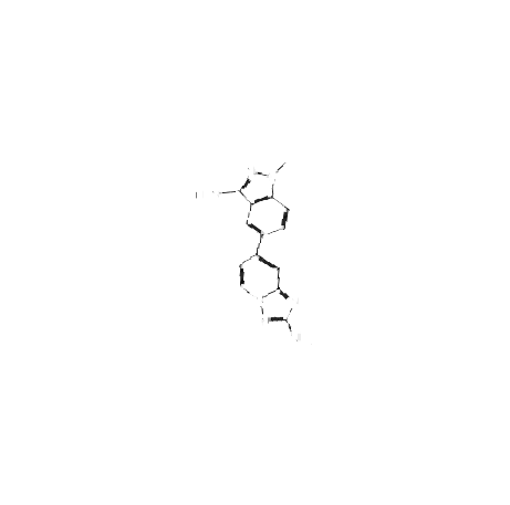 Cn1nc(N)c2cc(-c3ccn4nc(N)nc4c3)ccc21